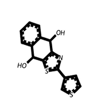 OC1c2ccccc2C(O)c2sc(-c3ccsc3)nc21